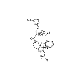 O=C(O)NC(COc1cccc(Cl)c1)C(=O)N1CCC2=NN(CC(F)F)C(=O)C2(Cc2ccccn2)C1